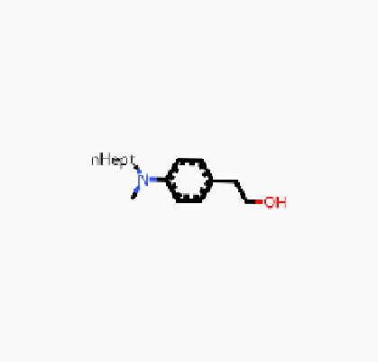 CCCCCCCN(C)c1ccc(CCO)cc1